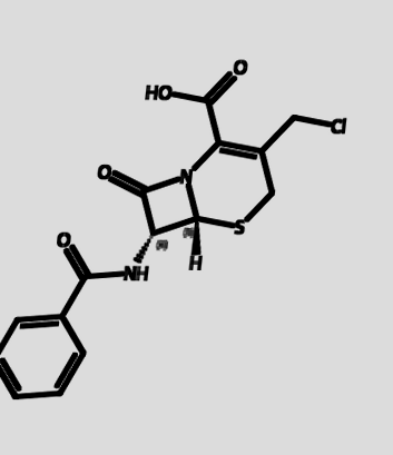 O=C(O)C1=C(CCl)CS[C@@H]2[C@H](NC(=O)c3ccccc3)C(=O)N12